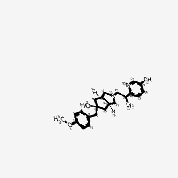 COc1ccc(C[C@]2(O)C[C@H]3CN(CC(O)c4ccc(O)cn4)C[C@H]3C2)cc1